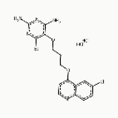 CCc1nc(N)nc(N)c1OCCCOc1ccnc2ccc(Cl)cc12.Cl.Cl